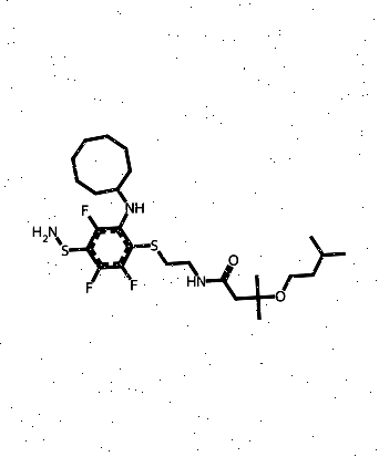 CC(C)CCOC(C)(C)CC(=O)NCCSc1c(F)c(F)c(SN)c(F)c1NC1CCCCCCC1